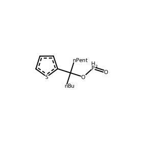 CCCCCC(CCCC)(O[PH2]=O)c1cccs1